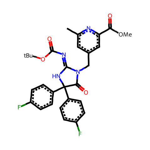 COC(=O)c1cc(CN2C(=O)C(c3ccc(F)cc3)(c3ccc(F)cc3)NC2=NC(=O)OC(C)(C)C)cc(C)n1